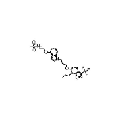 CCCc1c(OCCCn2ccc3c(OCCNS(C)(=O)=O)cccc32)ccc2c(C(F)(F)F)noc12